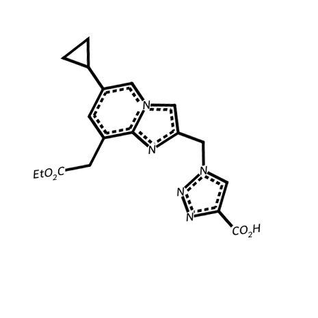 CCOC(=O)Cc1cc(C2CC2)cn2cc(Cn3cc(C(=O)O)nn3)nc12